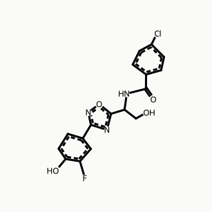 O=C(NC(CO)c1nc(-c2ccc(O)c(F)c2)no1)c1ccc(Cl)cc1